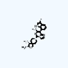 Cc1nc(N2CCC3(CC2)CO[C@@H](C)[C@H]3N)n2ccnc2c1-c1cccc2c(F)c[nH]c12